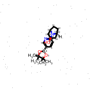 CC1(C)OB(c2ccc(N3C4CC[C@H]3CC(O)C4)nc2)OC1(C)C